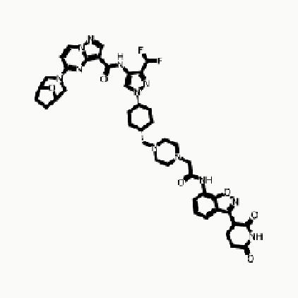 O=C1CCC(c2noc3c(NC(=O)CN4CCN(C[C@H]5CC[C@H](n6cc(NC(=O)c7cnn8ccc(N9CC%10CCC(C9)O%10)nc78)c(C(F)F)n6)CC5)CC4)cccc23)C(=O)N1